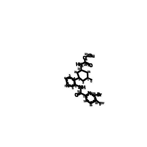 C[C@H]1CC(c2ccncc2NC(=O)c2ccc(F)c(Br)n2)C[C@@H](NC(=O)OC(C)(C)C)C1